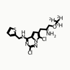 [2H]C([2H])([2H])OC[C@H](N)Cc1cc2c(NCc3cccs3)nc(Cl)nn2c1Cl